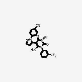 Cc1c(-c2ccnn2-c2ccc(C#N)cc2)c(=O)n(C(C)C)c(=O)n1-c1cccc(C(F)(F)F)c1